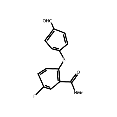 CNC(=O)c1cc(F)ccc1Sc1ccc(C=O)cc1